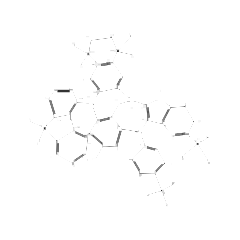 Cc1cc2c3c(c1)N(c1ccc(C(C)(C)C)cc1)c1c(oc4c1C=C(C(C)(C)C)CC4)B(C3)c1cc3c(cc1N2c1cccc2c1-c1ccccc1C2(C)C)C(C)(C)CCC3(C)C